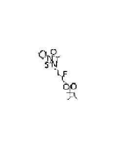 Cc1cn(CCCC(F)CCOC(=O)C2(C)CC(C)C2C)c(=S)n(-c2ccccc2)c1=O